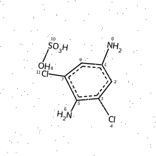 Nc1cc(Cl)c(N)c(Cl)c1.O=S(=O)(O)O